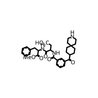 COC(=O)C(Cc1ccccc1)NC(=O)C(CC(=O)O)NC(=O)c1cccc(C(=O)C2CCC3(CCNCC3)CC2)c1